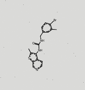 Cc1cc(CNC(=O)Nc2c(C)sc3cnccc23)ccc1Br